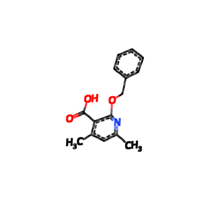 Cc1cc(C)c(C(=O)O)c(OCc2ccccc2)n1